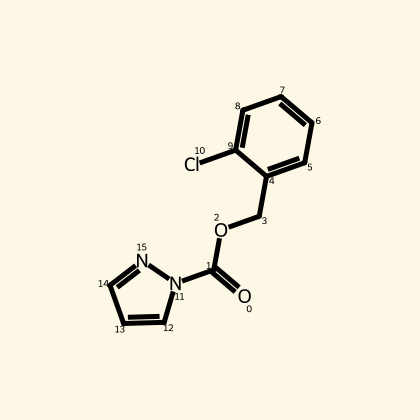 O=C(OCc1ccccc1Cl)n1cccn1